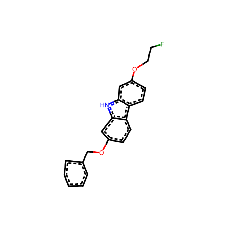 FCCOc1ccc2c(c1)[nH]c1cc(OCc3ccccc3)ccc12